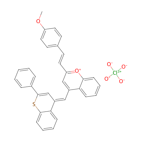 COc1ccc(C=Cc2cc(C=C3C=C(c4ccccc4)Sc4ccccc43)c3ccccc3[o+]2)cc1.[O-][Cl+3]([O-])([O-])[O-]